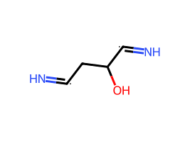 N=[C]CC(O)[C]=N